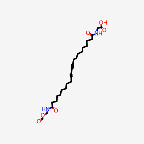 O=COCNC(=O)CCCCCCCCC#CC#CCCCCCCCCC(=O)NCC(=O)O